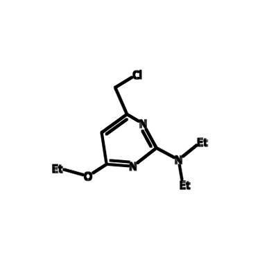 CCOc1cc(CCl)nc(N(CC)CC)n1